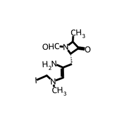 CC1C(=O)[C@H](C/C(N)=C/N(C)CI)N1C=O